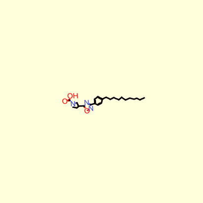 CCCCCCCCCCCc1ccc(-c2noc(C3CCN(C(=O)O)C3)n2)cc1